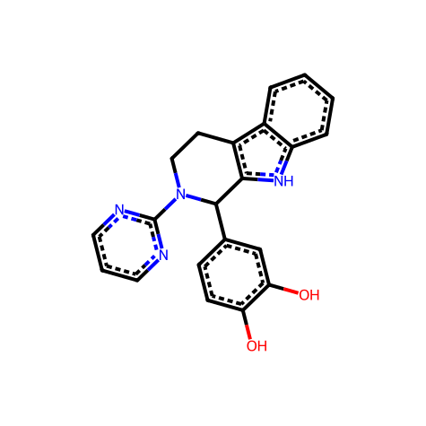 Oc1ccc(C2c3[nH]c4ccccc4c3CCN2c2ncccn2)cc1O